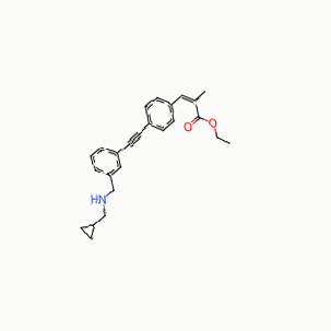 CCOC(=O)C(C)=Cc1ccc(C#Cc2cccc(CNCC3CC3)c2)cc1